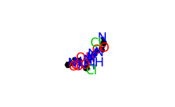 CC(C)[C@@H](C(=O)N1C[C@H](O)C[C@H]1C(=O)NCc1ccc(Cl)cc1OCCN1CCN(c2ccc(C(=O)N[C@H]3C(C)(C)[C@H](Oc4ccc(C#N)c(Cl)c4)C3(C)C)cn2)CC1)N1Cc2ccccc2C1=O